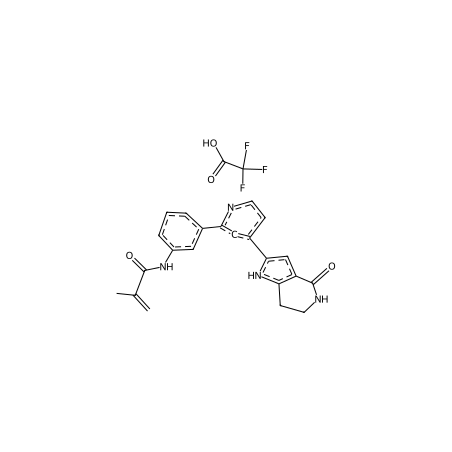 C=C(C)C(=O)Nc1cccc(-c2cc(-c3cc4c([nH]3)CCNC4=O)ccn2)c1.O=C(O)C(F)(F)F